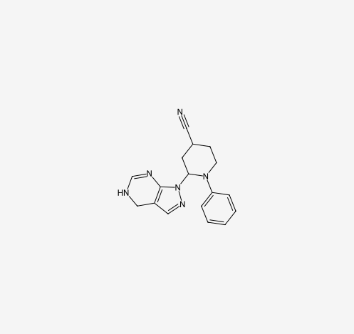 N#CC1CCN(c2ccccc2)C(n2ncc3c2N=CNC3)C1